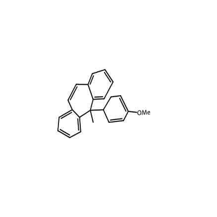 COC1=CCC(C2(C)c3ccccc3C=Cc3ccccc32)C=C1